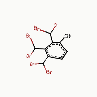 [CH]c1ccc(C(Br)Br)c(C(Br)Br)c1C(Br)Br